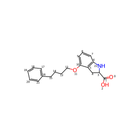 O=C(O)C1Cc2c(cccc2OCCCCc2ccccc2)N1